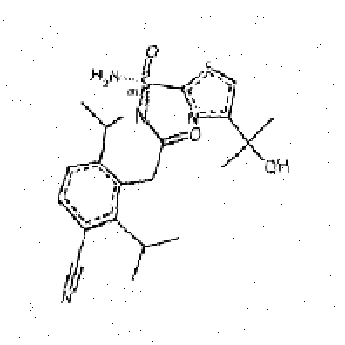 CC(C)c1ccc(C#N)c(C(C)C)c1CC(=O)N=[S@@](N)(=O)c1nc(C(C)(C)O)cs1